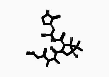 COCC(=O)N(C)C(C)C(=O)N1C[C@H]2[C@@H]([C@H]1C(=O)NC(C#N)C[C@@H]1CCNC1=O)C2(C)C